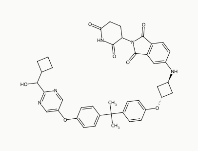 CC(C)(c1ccc(Oc2cnc(C(O)C3CCC3)nc2)cc1)c1ccc(O[C@H]2C[C@H](Nc3ccc4c(c3)C(=O)N(C3CCC(=O)NC3=O)C4=O)C2)cc1